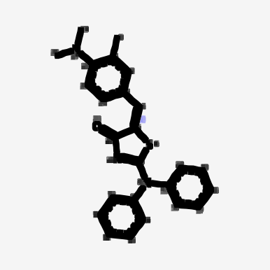 Cc1cc(/C=C2/SC(N(c3ccccc3)c3ccccc3)=NC2=O)ccc1N(C)C